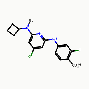 CCN(c1cc(Cl)cc(Nc2ccc(C(=O)O)c(F)c2)n1)C1CCC1